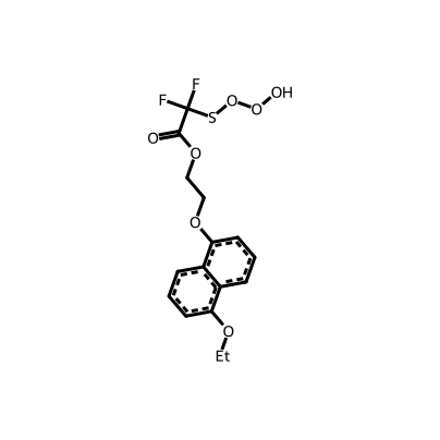 CCOc1cccc2c(OCCOC(=O)C(F)(F)SOOO)cccc12